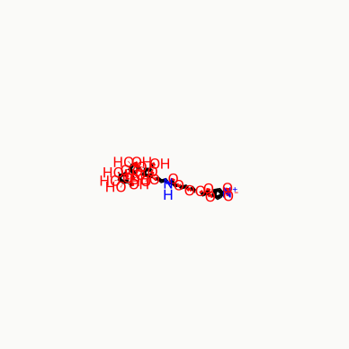 O=C(COCCOCCOCC(=O)Oc1ccc([N+](=O)[O-])cc1)NCCCO[C@@H]1O[C@H](CO)[C@@H](O[C@@H]2O[C@H](CO)[C@H](O[C@H]3O[C@H](CO)[C@H](O)[C@H](O)[C@H]3O)[C@H](O)[C@H]2O)[C@H](O)[C@H]1O